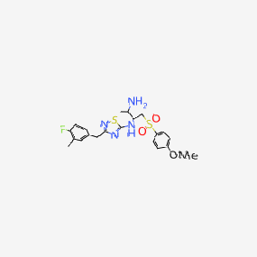 COc1ccc(S(=O)(=O)CC(Nc2nc(Cc3ccc(F)c(C)c3)ns2)C(C)N)cc1